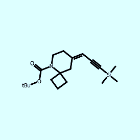 CC(C)(C)OC(=O)N1CCC(=CC#C[Si](C)(C)C)CC12CCC2